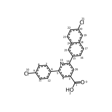 O=C(O)c1cc(-c2ccc(Cl)cc2)nc(-c2ccc3cc(Cl)ccc3c2)c1